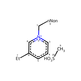 CCCCCCCCCC[n+]1cccc(CC)c1.CS(=O)(=O)O